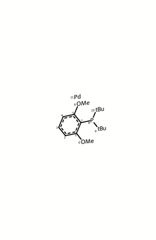 COc1cccc(OC)c1P(C(C)(C)C)C(C)(C)C.[Pd]